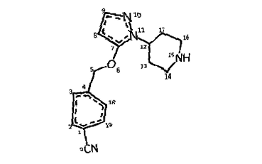 N#Cc1ccc(COc2ccnn2C2CCNCC2)cc1